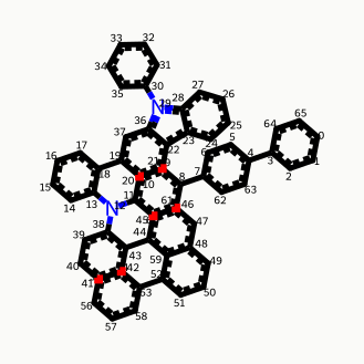 c1ccc(-c2ccc(-c3ccc(N(c4ccccc4-c4ccc5c6ccccc6n(-c6ccccc6)c5c4)c4ccccc4-c4cccc5cccc(-c6ccccc6)c45)cc3)cc2)cc1